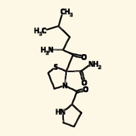 CC(C)CC(N)C(=O)C1(C(N)=O)SCCN1C(=O)C1CCCN1